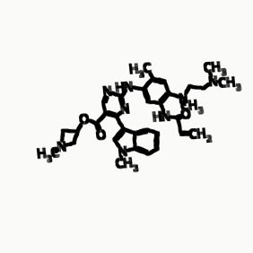 C=CC(=O)Nc1cc(Nc2ncc(C(=O)OC3CN(C)C3)c(-c3cn(C)c4ccccc34)n2)c(C)cc1N(C)CCN(C)C